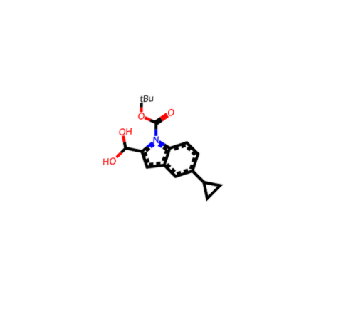 CC(C)(C)OC(=O)n1c(C(O)O)cc2cc(C3CC3)ccc21